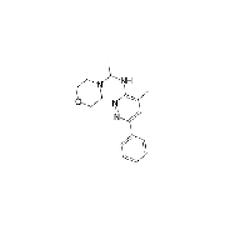 Cc1cc(-c2ccccc2)nnc1NC(C)N1CCOCC1